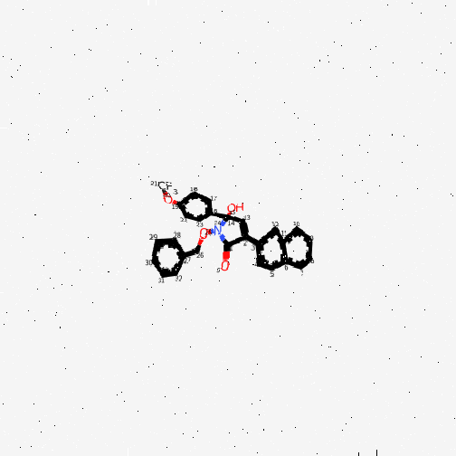 O=C1C(c2ccc3ccccc3c2)=CC(O)(c2ccc(OC(F)(F)F)cc2)N1OCc1ccccc1